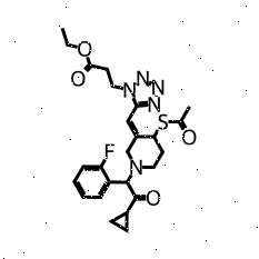 CCOC(=O)CCn1nnnc1C=C1CN(C(C(=O)C2CC2)c2ccccc2F)CCC1SC(C)=O